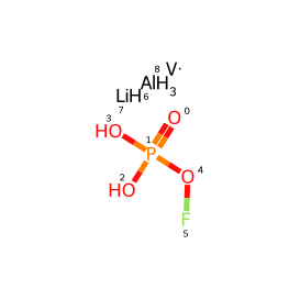 O=P(O)(O)OF.[AlH3].[LiH].[V]